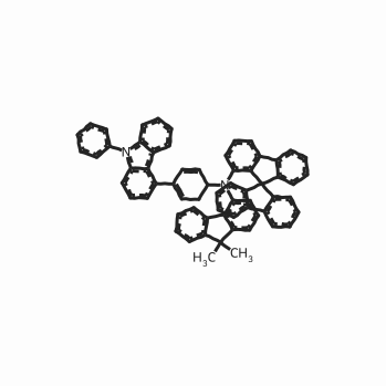 CC1(C)c2ccccc2-c2c(N(c3cccc4c3C3(c5ccccc5-c5ccccc53)c3ccccc3-4)C3C=CC(c4cccc5c4c4ccccc4n5-c4ccccc4)=CC3)cccc21